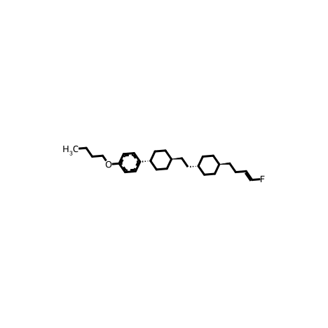 CCCCOc1ccc([C@H]2CC[C@H](CC[C@H]3CC[C@H](CCC=CF)CC3)CC2)cc1